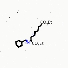 CCOC(=O)CCC/C=C/CC(/N=C/c1ccccc1)C(=O)OCC